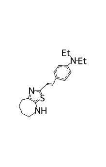 CCN(CC)c1ccc(C=Cc2nc3c(s2)NCCCC3)cc1